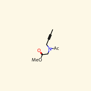 CC#CCN(CC(=O)OC)C(C)=O